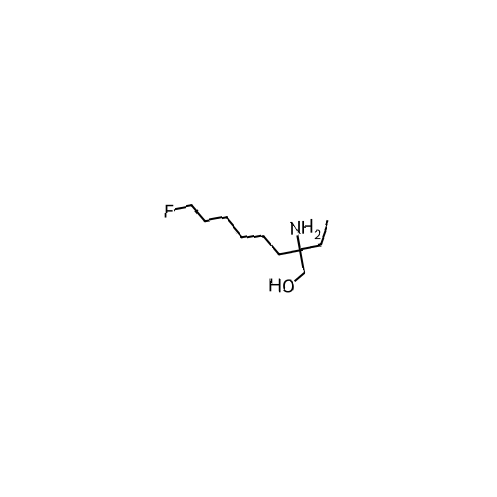 CCC(N)(CO)CCCCCCF